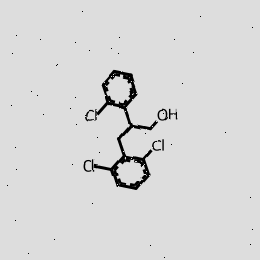 OCC(Cc1c(Cl)cccc1Cl)c1ccccc1Cl